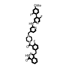 COc1ccc(-c2cc(Nc3cc(CN4CCN(C(=O)c5cc(Cc6n[nH]c(=O)c7ccccc67)ccc5F)CC4)ccn3)ncc2F)c(F)c1